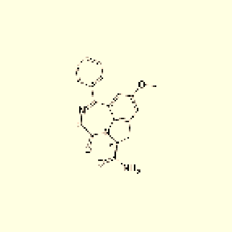 COc1cc2c3c(c1)C(c1ccccc1)=N[C]C(=O)N3[C@H](C(N)=O)C2